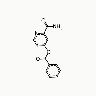 NC(=O)c1cc(OC(=O)c2ccccc2)ccn1